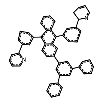 C1=CCC(c2cccc(-c3c4ccccc4c(-c4cccc(-c5ccccn5)c4)c4ccc(-c5cc(-c6ccccc6)cc(-c6ccccc6)c5)cc34)c2)N=C1